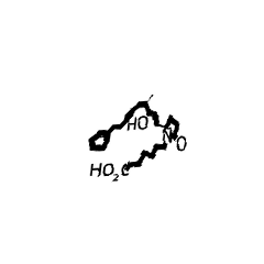 C[C@@H](CC#CCCc1ccccc1)[C@@H](O)C=C[C@H]1CCC(=O)N1CCCCCCC(=O)O